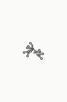 O=C(OCC[C@H](C[C@@H](COCc1ccccc1)OC(=O)C(Cc1ccc(OCc2ccccc2)c(OCc2ccccc2)c1)N(Cc1ccccc1)Cc1ccccc1)OCc1ccccc1)C(Cc1ccc(OCc2ccccc2)c(OCc2ccccc2)c1)N(Cc1ccccc1)Cc1ccccc1